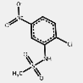 CS(=O)(=O)Nc1cc([N+](=O)[O-])ccc1Cl